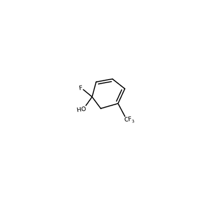 OC1(F)C=CC=C(C(F)(F)F)C1